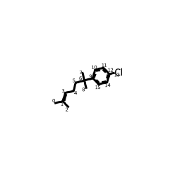 CC(C)=CCCC(C)(C)c1ccc(Cl)cc1